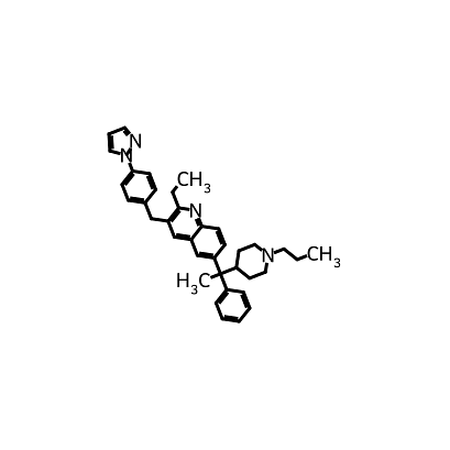 CCCN1CCC(C(C)(c2ccccc2)c2ccc3nc(CC)c(Cc4ccc(-n5cccn5)cc4)cc3c2)CC1